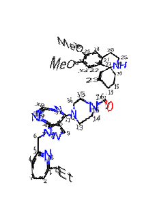 CCc1cccc(Cn2ncc3c(N4CCN(C(=O)[C@H]5CC[C@]6(CC5)NCCc5cc(OC)c(OC)cc56)CC4)ncnc32)n1